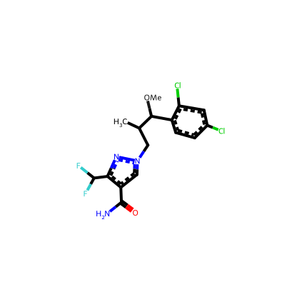 COC(c1ccc(Cl)cc1Cl)C(C)Cn1cc(C(N)=O)c(C(F)F)n1